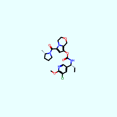 CC[C@@H](NC(=O)Oc1cc(C(=O)N2CCC[C@@H]2C)n2c1COCC2)c1cnc(OC)c(Cl)c1